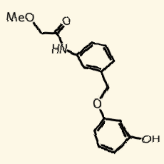 COCC(=O)Nc1cccc(COc2cccc(O)c2)c1